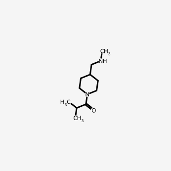 CNCC1CCN(C(=O)C(C)C)CC1